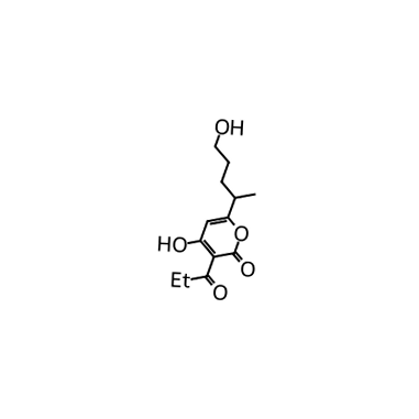 CCC(=O)c1c(O)cc(C(C)CCCO)oc1=O